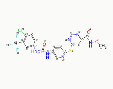 CONC(=O)c1cc(Sc2ccc(NC(=O)Nc3ccc(Cl)c(C(F)(F)F)c3)cn2)ncn1